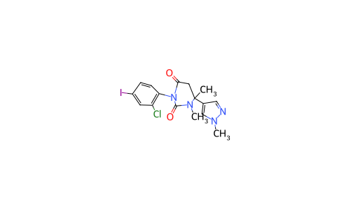 CN1C(=O)N(c2ccc(I)cc2Cl)C(=O)CC1(C)c1cnn(C)c1